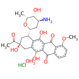 COc1cccc2c1C(=O)c1c(O)c3c(c(O)c1C2=O)C[C@](O)(C(C)=O)CC3[C@H]1C[C@H](N)[C@@H](O)[C@@H](C)O1.Cl.O